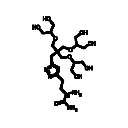 NC(=O)[C@H](N)CCc1cn(CC(COC(CO)CO)(COC(CO)CO)COC(CO)CO)nn1